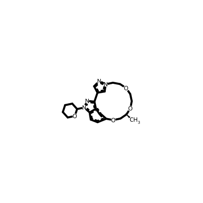 C[C@H]1COc2ccc3c(c2)c(nn3C2CCCCO2)-c2cnn(c2)CCOCCO1